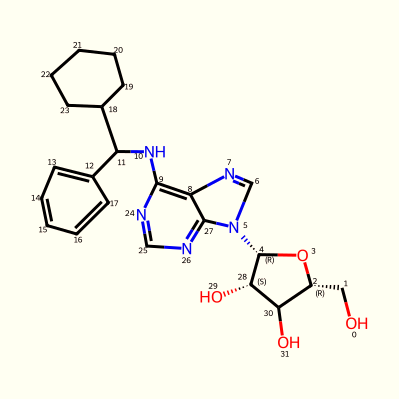 OC[C@H]1O[C@@H](n2cnc3c(NC(c4ccccc4)C4CCCCC4)ncnc32)[C@@H](O)C1O